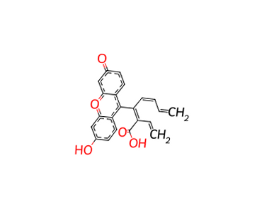 C=C/C=C\C(=C(/C=C)C(=O)O)c1c2ccc(=O)cc-2oc2cc(O)ccc12